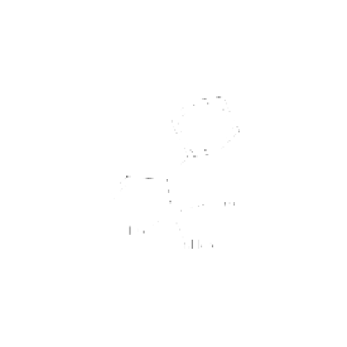 C=CC(c1ccccc1)[PH](CCCCCC)(CCCCCC)CCCCCC